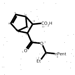 CCCCCC(CC)OC(=O)C1C2C=CC(C2)C1C(=O)O